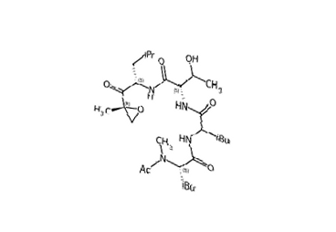 CCC(C)C(NC(=O)[C@H](C(C)CC)N(C)C(C)=O)C(=O)N[C@H](C(=O)N[C@@H](CC(C)C)C(=O)[C@@]1(C)CO1)C(C)O